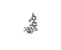 CC(C)(C)OC(=O)NC(CO)C(=O)N1CCN(c2ccc(F)cc2F)CC1